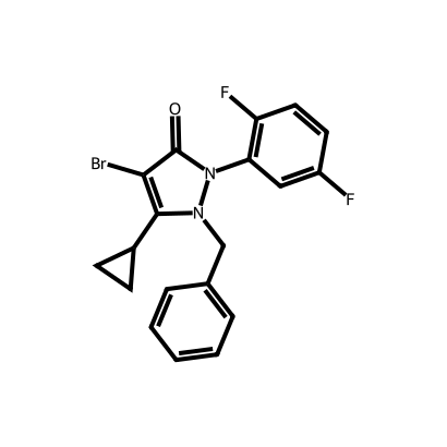 O=c1c(Br)c(C2CC2)n(Cc2ccccc2)n1-c1cc(F)ccc1F